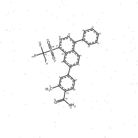 Cc1cc(-c2ccc3c(-c4ccccc4)nnc(S(=O)(=O)C(F)(F)F)c3c2)ccc1C(N)=O